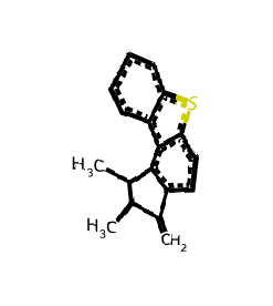 C=C1c2ccc3sc4ccccc4c3c2C(C)C1C